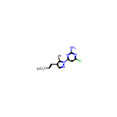 CCOC(=O)/C=C/c1cnn(-c2cc(Cl)nc(N)n2)c1C(C)C